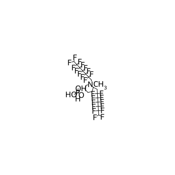 CC1(CC(F)(F)C(F)(F)C(F)(F)C(F)(F)C(F)(F)C(F)F)CCCCN1CC(F)(F)C(F)(F)C(F)(F)C(F)(F)C(F)(F)C(F)F.O=[PH](O)O